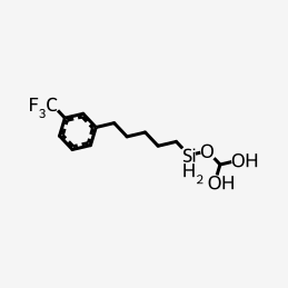 OC(O)O[SiH2]CCCCCc1cccc(C(F)(F)F)c1